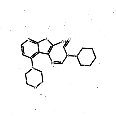 Cc1sc2nccc(N3CCOCC3)c2c1/N=C\N(C=O)C1CCCCC1